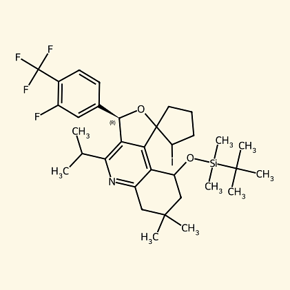 CC(C)c1nc2c(c3c1[C@@H](c1ccc(C(F)(F)F)c(F)c1)OC31CCCC1I)C(O[Si](C)(C)C(C)(C)C)CC(C)(C)C2